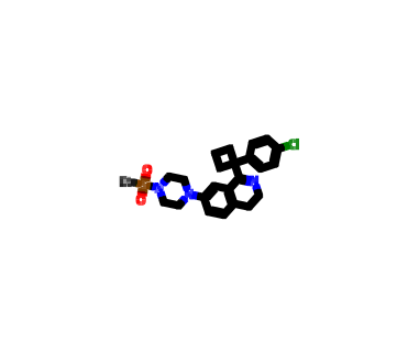 CCS(=O)(=O)N1CCN(c2ccc3c(c2)C(C2(c4ccc(Cl)cc4)CCC2)=NCC3)CC1